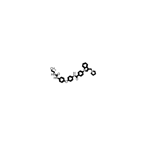 CCCNC(=O)Nc1ccc(Oc2ccc(NC(=O)c3ccc(-n4cc(CN5CCCC5)c5ccccc54)cc3)cc2)cc1